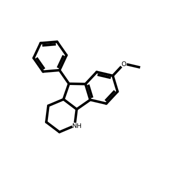 COc1ccc2c(c1)C(c1ccccc1)C1CCCNC21